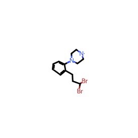 BrC(Br)CCc1ccccc1N1CC[N]CC1